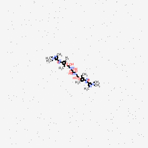 CCc1cc(-c2noc(-c3cc(C)nc(N(CC)CC)c3)n2)cc(C)c1OC[C@@H](O)CNC(=O)C(O)C(O)C(=O)NC[C@H](O)COc1c(C)cc(-c2noc(-c3cc(C)nc(N(CC)CC)c3)n2)cc1CC